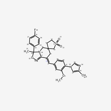 COc1cc(/C=C2\CC3(CCS(=O)(=O)C3)CN3C2=NOC3(C)c2ccc(F)cc2)ccc1-n1cnc(C)c1